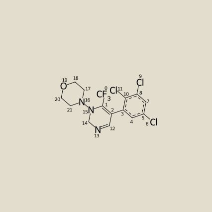 FC(F)(F)C1=C(c2cc(Cl)cc(Cl)c2Cl)C=NCN1N1CCOCC1